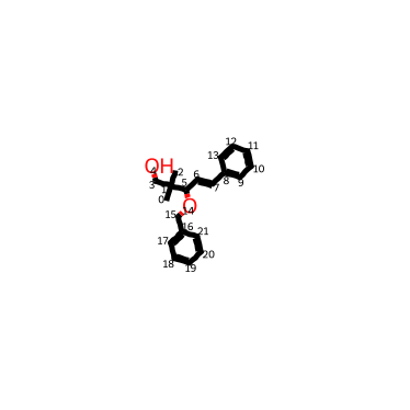 CC(C)(CO)C(C=Cc1ccccc1)OCc1ccccc1